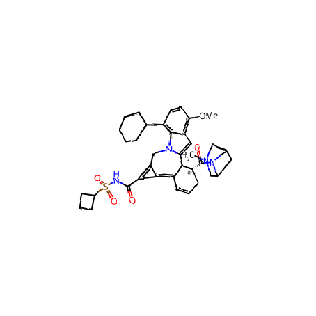 COc1ccc(C2CCCCC2)c2c1cc1n2CC2=C(C(=O)NS(=O)(=O)C3CCC3)C2=C2C=CC[C@@H](C(=O)N3C4CC3CN(C)C4)C21